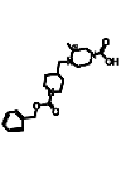 C[C@H]1CN(C(=O)O)CCN1CC1CCN(C(=O)OCc2ccccc2)CC1